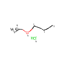 CCCO[SiH3].Cl